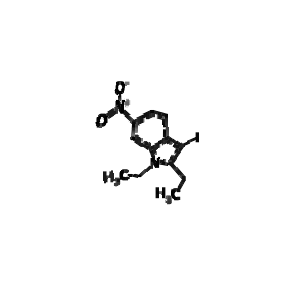 CCc1c(I)c2ccc([N+](=O)[O-])cc2n1CC